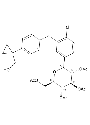 CC(=O)OC[C@H]1O[C@@H](c2ccc(Cl)c(Cc3ccc(C4(CO)CC4)cc3)c2)[C@H](OC(C)=O)[C@@H](OC(C)=O)[C@@H]1OC(C)=O